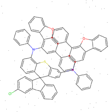 Clc1ccc2c(c1)-c1ccccc1C21c2ccc(N(c3ccccc3)c3cc(-c4ccccc4)c4oc5ccccc5c4c3)cc2Sc2c(N(c3ccccc3)c3cc(-c4ccccc4)cc4oc5ccccc5c34)cccc21